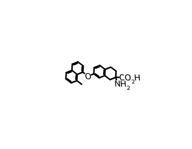 Cc1cccc2cccc(Oc3ccc4c(c3)CC(N)(C(=O)O)CC4)c12